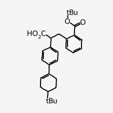 CC(C)(C)OC(=O)c1ccccc1CC(C(=O)O)c1ccc(C2=CCC(C(C)(C)C)CC2)cc1